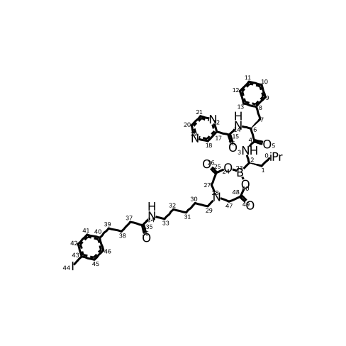 CC(C)C[C@H](NC(=O)[C@H](Cc1ccccc1)NC(=O)c1cnccn1)B1OC(=O)CN(CCCCCNC(=O)CCCc2ccc(I)cc2)CC(=O)O1